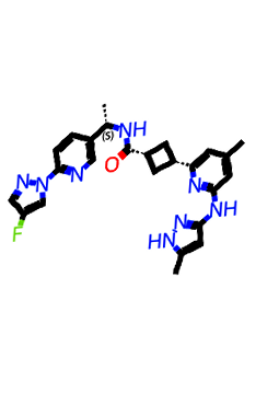 Cc1cc(Nc2cc(C)[nH]n2)nc([C@H]2C[C@@H](C(=O)N[C@@H](C)c3ccc(-n4cc(F)cn4)nc3)C2)c1